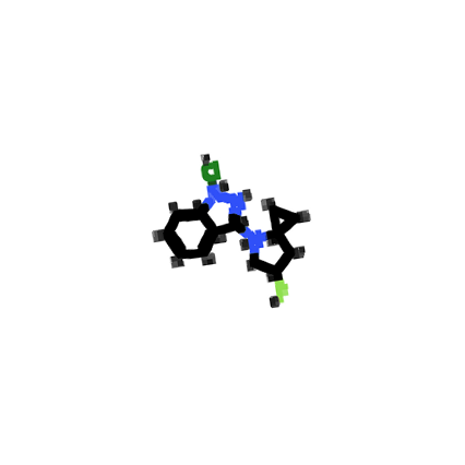 FC1CN(c2nn(Cl)c3ccccc23)C2(CC2)C1